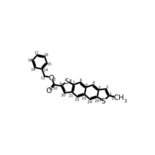 Cc1cc2cc3cc4sc(C(=O)OCc5ccccc5)cc4cc3cc2s1